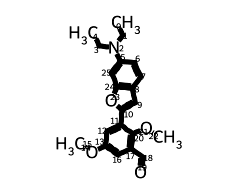 CCN(CC)c1ccc2cc(-c3cc(OC)cc(C=O)c3OC)oc2c1